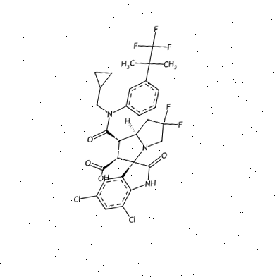 CC(C)(c1cccc(N(CC2CC2)C(=O)[C@H]2[C@H]3CC(F)(F)CN3[C@]3(C(=O)Nc4c(Cl)cc(Cl)cc43)[C@H]2C(=O)O)c1)C(F)(F)F